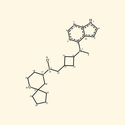 CN(c1ncnc2[nH]ccc12)C1CC(C[S+]([O-])N2CCOC3(CCCC3)C2)C1